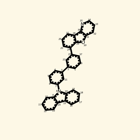 c1cc(-c2cccc(-n3c4ccccc4c4ccccc43)c2)cc(-c2cccc3c2oc2cccnc23)c1